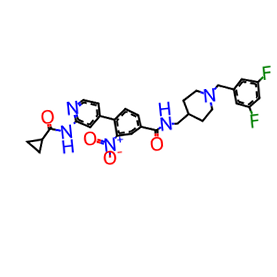 O=C(NCC1CCN(Cc2cc(F)cc(F)c2)CC1)c1ccc(-c2ccnc(NC(=O)C3CC3)c2)c([N+](=O)[O-])c1